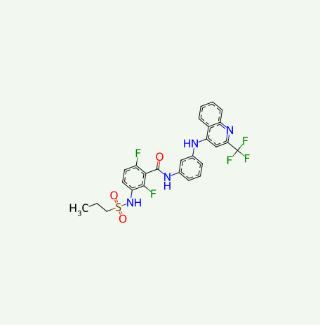 CCCS(=O)(=O)Nc1ccc(F)c(C(=O)Nc2cccc(Nc3cc(C(F)(F)F)nc4ccccc34)c2)c1F